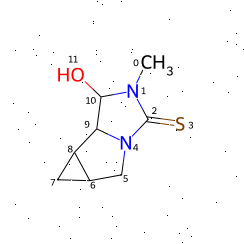 CN1C(=S)N2CC3CC3C2C1O